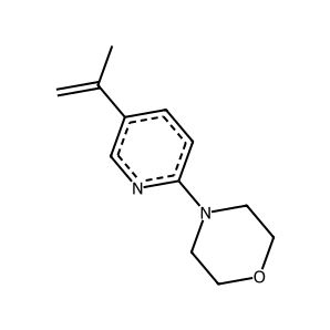 C=C(C)c1ccc(N2CCOCC2)nc1